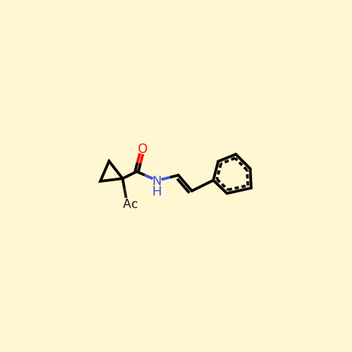 CC(=O)C1(C(=O)NC=Cc2ccccc2)CC1